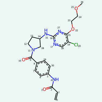 C=CC(=O)Nc1ccc(C(=O)N2CCC(Nc3ncc(Cl)c(OCCOC)n3)C2)cc1